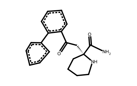 NC(=O)[C@]1([CH]C(=O)c2ccccc2-c2ccccc2)CCCCN1